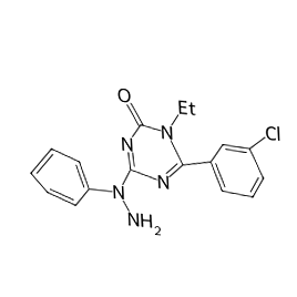 CCn1c(-c2cccc(Cl)c2)nc(N(N)c2ccccc2)nc1=O